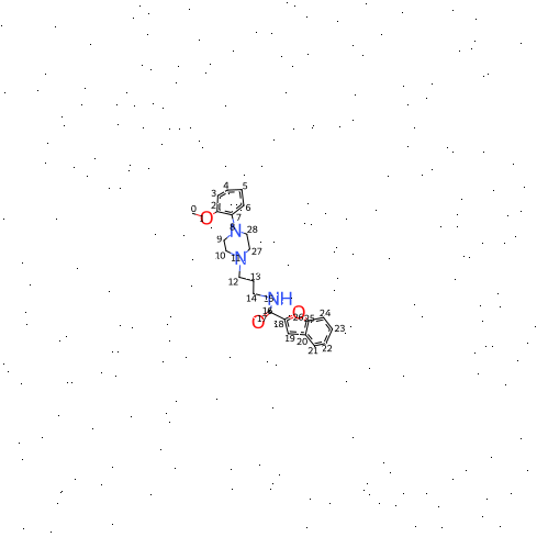 COc1ccccc1N1CCN(CCCNC(=O)c2cc3ccccc3o2)CC1